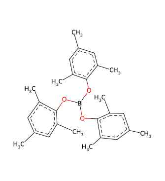 Cc1cc(C)c([O][Bi]([O]c2c(C)cc(C)cc2C)[O]c2c(C)cc(C)cc2C)c(C)c1